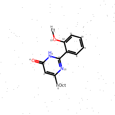 CCCCCCCCc1cc(=O)[nH]c(-c2ccccc2OCC)n1